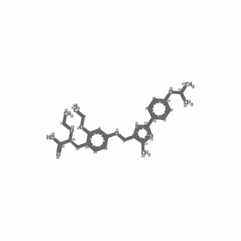 CCOc1cc(OCc2nc(-c3ccc(OC(C)C)cc3)oc2C)ccc1C[C@H](OCC)C(=O)O